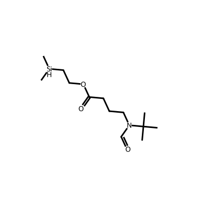 C[SiH](C)CCOC(=O)CCCN(C=O)C(C)(C)C